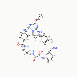 CC(C)(CNC(=O)C(=O)Nc1cccc(CN)c1)CNC(=O)c1ccc(Nc2nc(NC3(c4ccc(Cl)cc4)CC3)nc(OCC(F)(F)F)n2)cc1